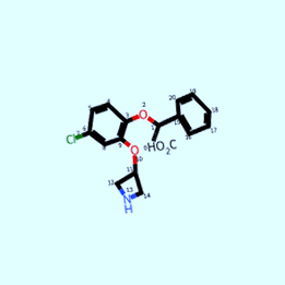 O=C(O)C(Oc1ccc(Cl)cc1OC1CNC1)c1ccccc1